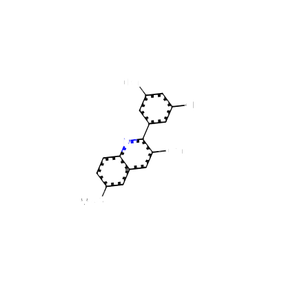 COc1ccc2nc(-c3cc(C)cc(C(C)(C)C)c3)c(C(C)(C)C)cc2c1